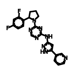 Fc1ccc(C2CCCN2c2ncnc(Nc3cc(-c4cccnc4)[nH]n3)n2)c(F)c1